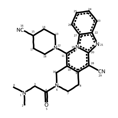 CN(C)CC(=O)N1CCc2c(c(N3CCC(C#N)CC3)n3c(nc4ccccc43)c2C#N)C1